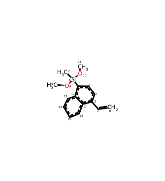 C=Cc1ccc([Si](C)(OC)OC)c2ccccc12